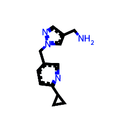 NCc1cnn(Cc2ccc(C3CC3)nc2)c1